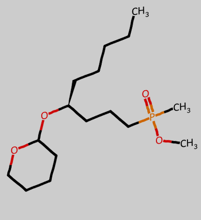 CCCCC[C@@H](CCCP(C)(=O)OC)OC1CCCCO1